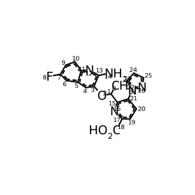 CC(Oc1cc2cc(F)ccc2nc1N)c1nc(C(=O)O)ccc1-n1cccn1